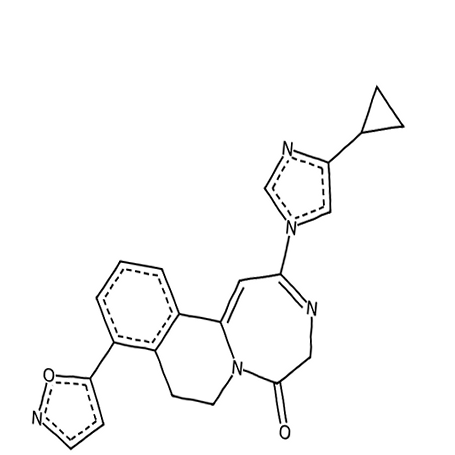 O=C1CN=C(n2cnc(C3CC3)c2)C=C2c3cccc(-c4ccno4)c3CCN12